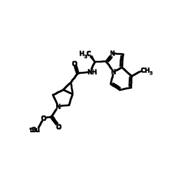 Cc1cccn2c([C@H](C)NC(=O)C3C4CN(C(=O)OC(C)(C)C)CC43)ncc12